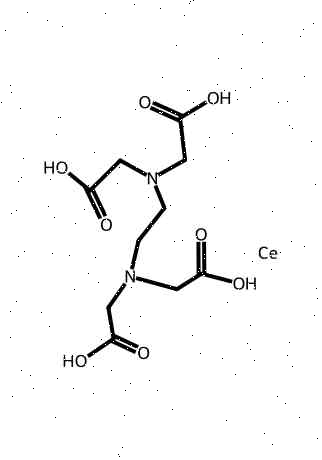 O=C(O)CN(CCN(CC(=O)O)CC(=O)O)CC(=O)O.[Ce]